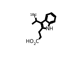 CC([18F])c1c(CCC(=O)O)[nH]c2ccccc12